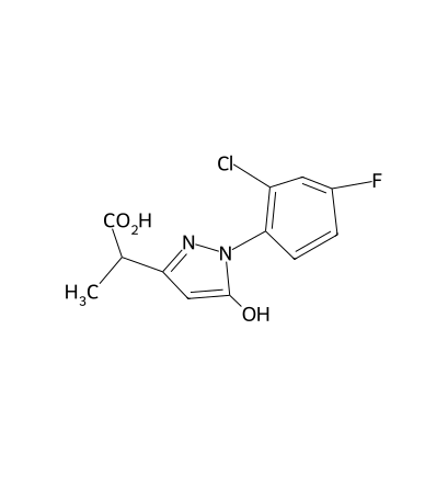 CC(C(=O)O)c1cc(O)n(-c2ccc(F)cc2Cl)n1